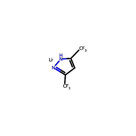 FC(F)(F)c1cc(C(F)(F)F)[nH]n1.[Li]